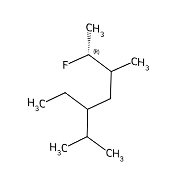 CCC(CC(C)[C@@H](C)F)C(C)C